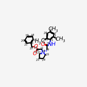 Cc1cc(C)c(NC(=O)C[N+]2(CC(=O)OCc3ccccc3)CCCC2)c(C)c1